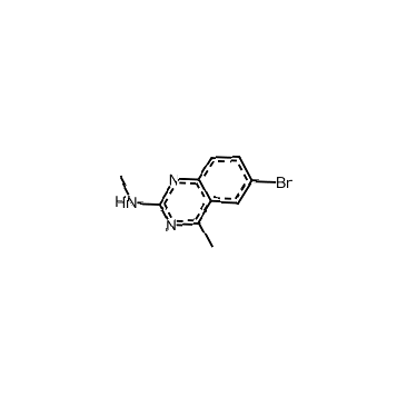 CNc1nc(C)c2cc(Br)ccc2n1